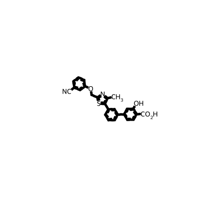 Cc1nc(COc2cccc(C#N)c2)sc1-c1cccc(-c2ccc(C(=O)O)c(O)c2)c1